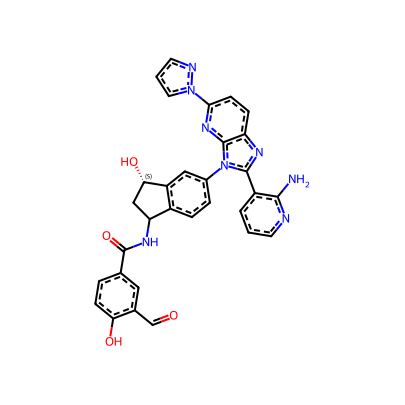 Nc1ncccc1-c1nc2ccc(-n3cccn3)nc2n1-c1ccc2c(c1)[C@@H](O)CC2NC(=O)c1ccc(O)c(C=O)c1